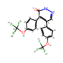 O=C1[N]N=CC(c2ccc(OC(F)(F)F)cc2)=C1c1ccc(OC(F)(F)F)cc1